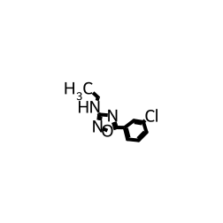 CCNc1noc(-c2cccc(Cl)c2)n1